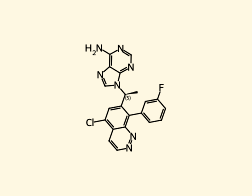 C[C@@H](c1cc(Cl)c2ccnnc2c1-c1cccc(F)c1)n1cnc2c(N)ncnc21